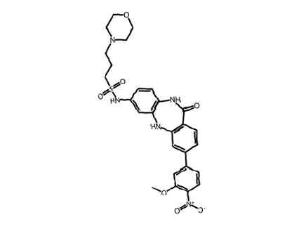 COc1cc(-c2ccc3c(c2)Nc2cc(NS(=O)(=O)CCCN4CCOCC4)ccc2NC3=O)ccc1[N+](=O)[O-]